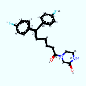 O=C1CN(C(=O)CCCCC(c2ccc(F)cc2)c2ccc(F)cc2)CCN1